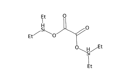 CC[SiH](CC)OC(=O)C(=O)O[SiH](CC)CC